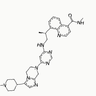 CNC(=O)c1ccnc2c([C@H](C)CNc3cc(N4CCn5c(C6CCN(C)CC6)cnc5C4)ncn3)cccc12